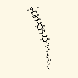 CCCCCCCCCCOc1ccc(C=Nc2ccc(C=CC(=O)O[C@@H](C)C(=O)OC)cc2)cc1